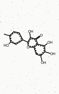 Cc1ccc(-c2oc3cc(O)c(O)c(O)c3c(=O)c2O)cc1O